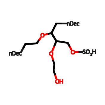 CCCCCCCCCCCCOC(CCCCCCCCCCC)C(COS(=O)(=O)O)OCCO